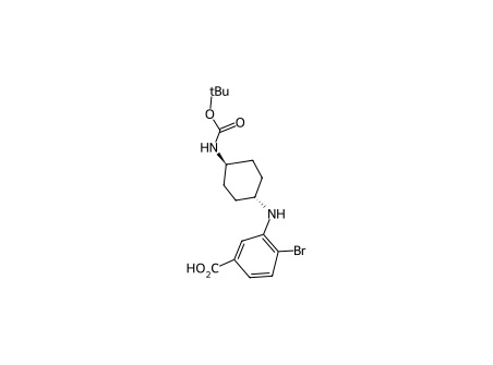 CC(C)(C)OC(=O)N[C@H]1CC[C@H](Nc2cc(C(=O)O)ccc2Br)CC1